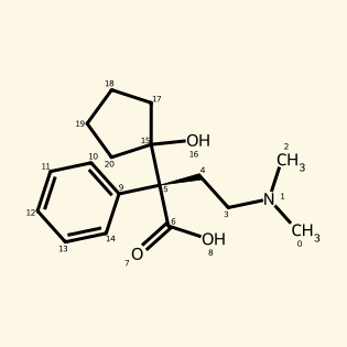 CN(C)CC[C@@](C(=O)O)(c1ccccc1)C1(O)CCCC1